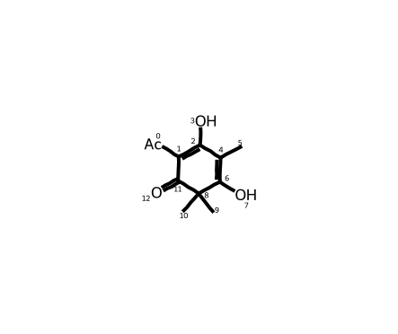 CC(=O)C1=C(O)C(C)=C(O)C(C)(C)C1=O